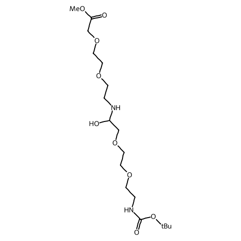 COC(=O)COCCOCCNC(O)COCCOCCNC(=O)OC(C)(C)C